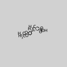 CC1(C)Oc2ccc(CC[C@H]3C=C(S(=O)(=O)O)C=CC3(C)C)cc2O1